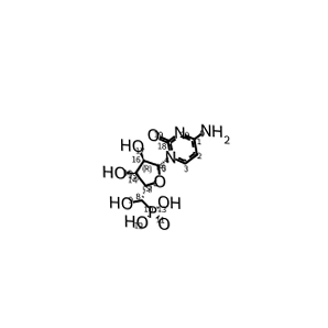 Nc1ccn([C@@H]2O[C@H](C(O)P(=O)(O)O)[C@@H](O)[C@H]2O)c(=O)n1